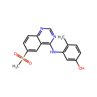 Cc1ccc(O)cc1Nc1ncnc2ccc(S(C)(=O)=O)cc12